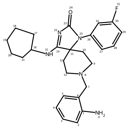 Nc1ccccc1CN1CCC2(CC1)C(NC1CCCCC1)=NC(=O)N2c1cccc(F)c1